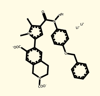 CCCN(C(=O)c1cc(-c2cc3c(cc2C(=O)[O-])CN(C(=O)[O-])CC3)n(C)c1C)c1ccc(OCc2ccccc2)cc1.[Li+].[Li+]